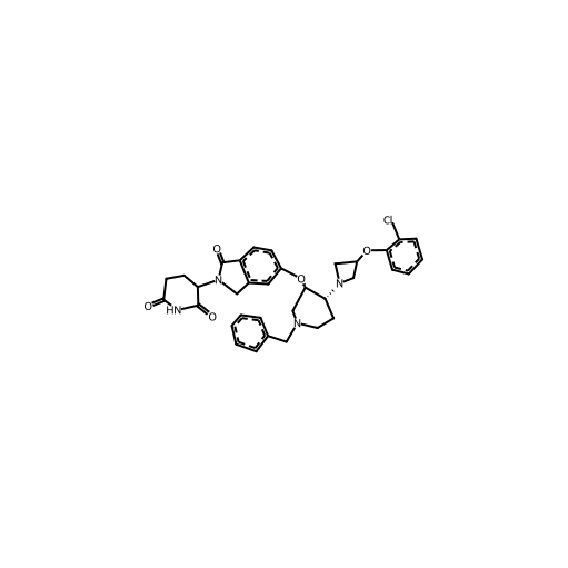 O=C1CCC(N2Cc3cc(O[C@@H]4CN(Cc5ccccc5)CC[C@H]4N4CC(Oc5ccccc5Cl)C4)ccc3C2=O)C(=O)N1